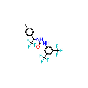 Cc1ccc(C(NC(=O)Nc2cc(C(F)(F)F)cc(C(F)(F)F)c2)C(F)(F)F)cc1